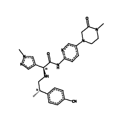 C[C@H](CN[C@H](C(=O)Nc1ccc(N2CCN(C)C(=O)C2)cn1)c1cnn(C)c1)c1ccc(C#N)cc1